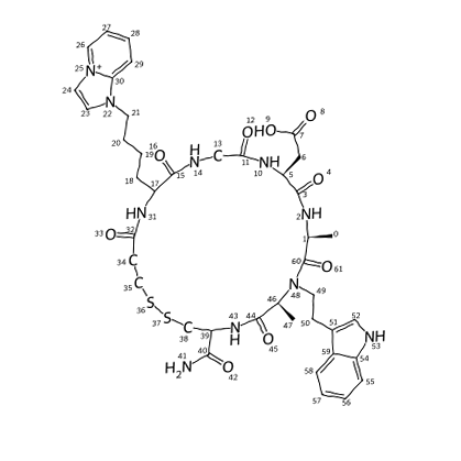 C[C@@H]1NC(=O)[C@H](CC(=O)O)NC(=O)CNC(=O)C(CCCCn2cc[n+]3ccccc23)NC(=O)CCSSCC(C(N)=O)NC(=O)[C@H](C)N(CCc2c[nH]c3ccccc23)C1=O